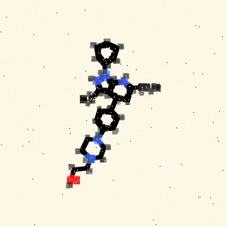 CCOC(=O)c1cc(-c2ccc(N3CCN(CCO)CC3)cc2)c2c(C)nn(-c3ccccc3)c2n1